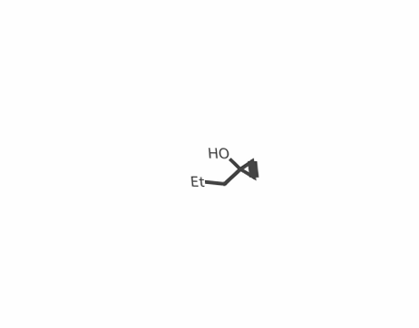 CCCC1(O)C#C1